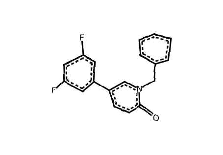 O=c1ccc(-c2cc(F)cc(F)c2)cn1Cc1ccccc1